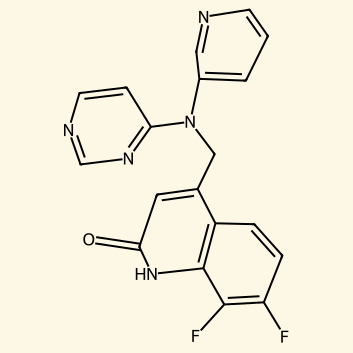 O=c1cc(CN(c2cccnc2)c2ccncn2)c2ccc(F)c(F)c2[nH]1